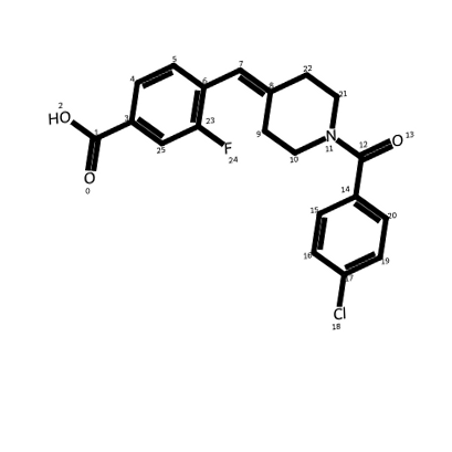 O=C(O)c1ccc(C=C2CCN(C(=O)c3ccc(Cl)cc3)CC2)c(F)c1